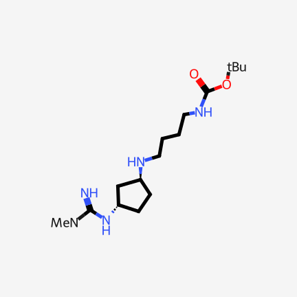 CNC(=N)N[C@H]1CC[C@H](NCCCCNC(=O)OC(C)(C)C)C1